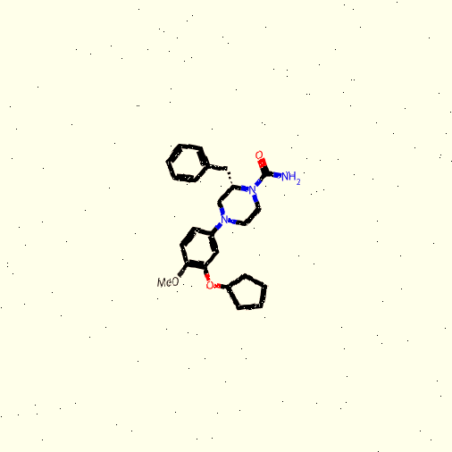 COc1ccc(N2CCN(C(N)=O)[C@@H](Cc3ccccc3)C2)cc1OC1CCCC1